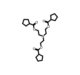 O=C(OCCN(CCOC(=O)C1CCCC1)CCOC(=O)C1CCCC1)C1CCCC1